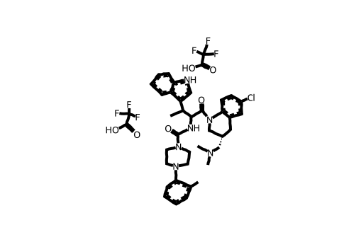 Cc1ccccc1N1CCN(C(=O)NC(C(=O)N2C[C@@H](CN(C)C)Cc3cc(Cl)ccc32)C(C)c2c[nH]c3ccccc23)CC1.O=C(O)C(F)(F)F.O=C(O)C(F)(F)F